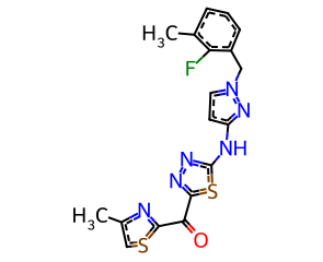 Cc1csc(C(=O)c2nnc(Nc3ccn(Cc4cccc(C)c4F)n3)s2)n1